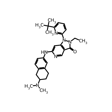 CCn1c(=O)c2cnc(Nc3ccc4c(c3)CCC(N(C)C)C4)cc2n1-c1cccc(C(C)(C)C)n1